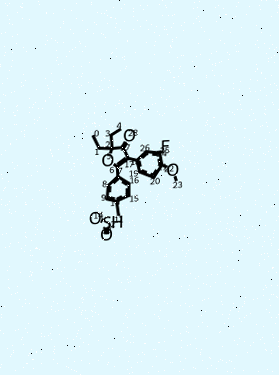 CCC1(CC)OC(c2ccc(C[SH](=O)=O)cc2)=C(c2ccc(OC)c(F)c2)C1=O